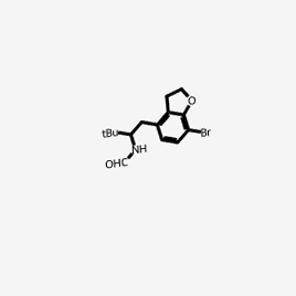 CC(C)(C)C(Cc1ccc(Br)c2c1CCO2)NC=O